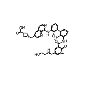 Cn1cc(CNCCO)cc(C(=O)Nc2cccc(-c3cccc(Nc4nccc5cc(CN6CC(C(=O)O)C6)cnc45)c3Cl)c2Cl)c1=O